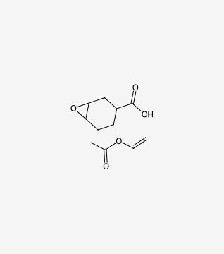 C=COC(C)=O.O=C(O)C1CCC2OC2C1